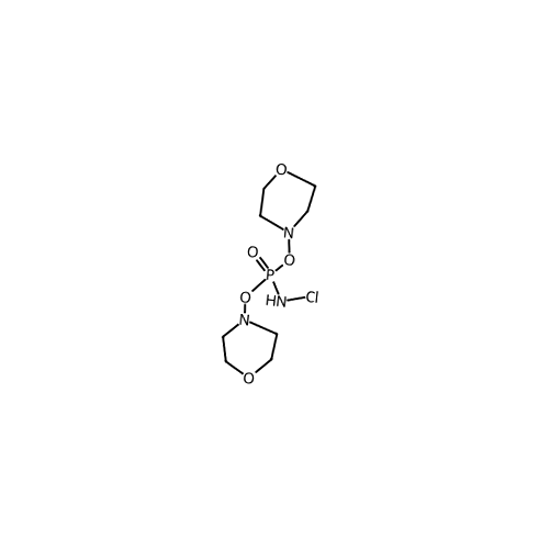 O=P(NCl)(ON1CCOCC1)ON1CCOCC1